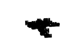 COc1cc(C)c(-c2cc3c(N[C@H]4CC[C@H](NC(=O)OC(C)(C)C)CC4)c(/C(N)=N/c4cc(F)ccc4Cl)cnn3c2)c(C)c1